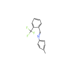 Cc1ccc(N=Cc2ccccc2C(F)(F)F)cc1